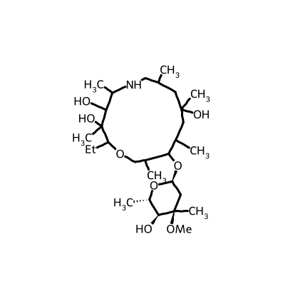 CCC1OCC(C)C(O[C@H]2C[C@@](C)(OC)[C@@H](O)[C@H](C)O2)C(C)CC(C)(O)CC(C)CNC(C)C(O)C1(C)O